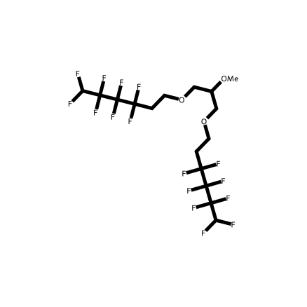 COC(COCCC(F)(F)C(F)(F)C(F)(F)C(F)F)COCCC(F)(F)C(F)(F)C(F)(F)C(F)F